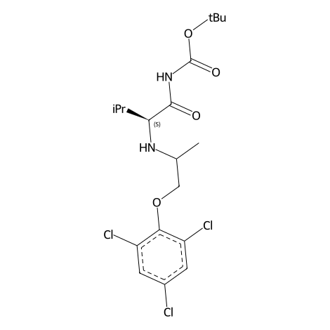 CC(COc1c(Cl)cc(Cl)cc1Cl)N[C@H](C(=O)NC(=O)OC(C)(C)C)C(C)C